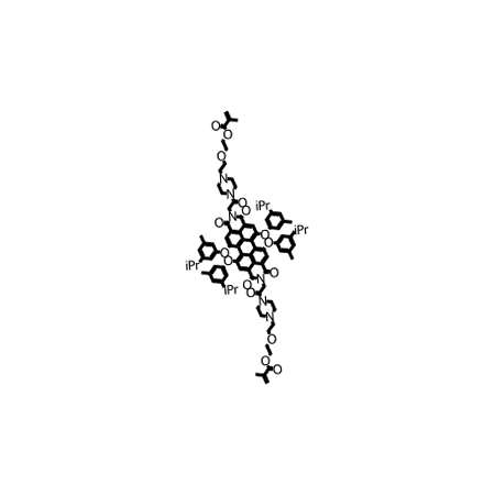 C=C(C)C(=O)OCCOCCN1CCN(C(=O)CN2C(=O)c3cc(Oc4cc(C)cc(C(C)C)c4)c4c5c(Oc6cc(C)cc(C(C)C)c6)cc6c7c(cc(Oc8cc(C)cc(C(C)C)c8)c(c8c(Oc9cc(C)cc(C(C)C)c9)cc(c3c48)C2=O)c75)C(=O)N(CC(=O)N2CCN(CCOCCOC(=O)C(=C)C)CC2)C6=O)CC1